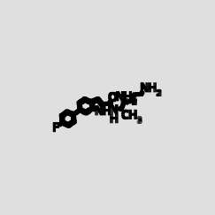 CC(NC(=O)c1cc2ccc(-c3ccc(F)cc3)cc2[nH]1)[C@@H](N)CCCN